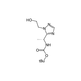 C[C@@H](NC(=O)OC(C)(C)C)c1ncnn1CCO